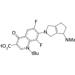 CNC1CCC2=C1CN(c1c(F)cc3c(=O)c(C(=O)O)cn(C(C)(C)C)c3c1F)C2